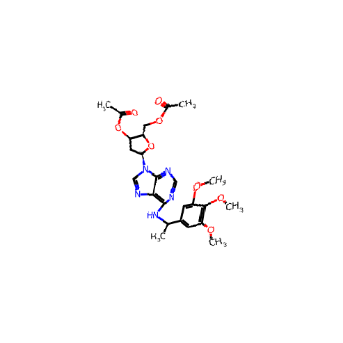 COc1cc(C(C)Nc2ncnc3c2ncn3[C@H]2CC(OC(C)=O)[C@@H](COC(C)=O)O2)cc(OC)c1OC